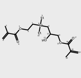 C=C(C)C(=O)OCC[N+](CC)(CC)CC(O)COC(=O)C(=C)C